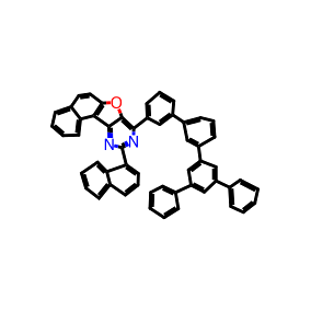 c1ccc(-c2cc(-c3ccccc3)cc(-c3cccc(-c4cccc(-c5nc(-c6cccc7ccccc67)nc6c5oc5ccc7ccccc7c56)c4)c3)c2)cc1